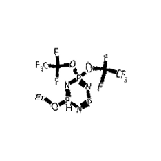 CCO[PH]1=NP(OC(F)(F)C(F)(F)F)(OC(F)(F)C(F)(F)F)=NP=N1